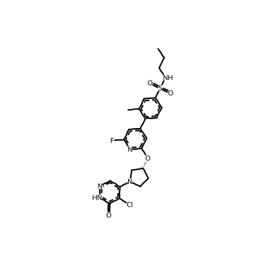 CCCNS(=O)(=O)c1ccc(-c2cc(F)nc(O[C@@H]3CCN(c4cn[nH]c(=O)c4Cl)C3)c2)c(C)c1